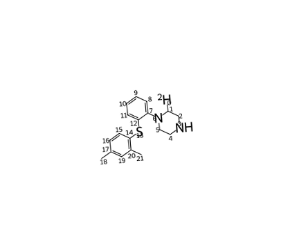 [2H]C1CNCCN1c1ccccc1Sc1ccc(C)cc1C